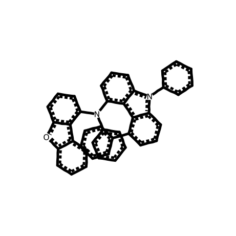 c1ccc(-c2cccc3c2c2c(N(c4ccccc4)c4cccc5oc6ccccc6c45)cccc2n3-c2ccccc2)cc1